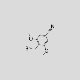 COc1cc(C#N)cc(OC)c1CBr